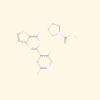 CC(C)(C)OC(=O)N1CC[C@@H](Nc2nc(-c3cc(Cl)ncc3F)nc3ccsc23)C1